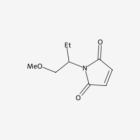 CCC(COC)N1C(=O)C=CC1=O